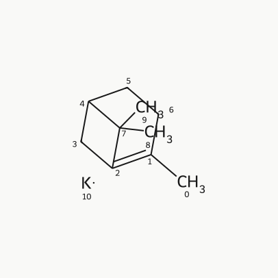 CC1=C2CC(CC1)C2(C)C.[K]